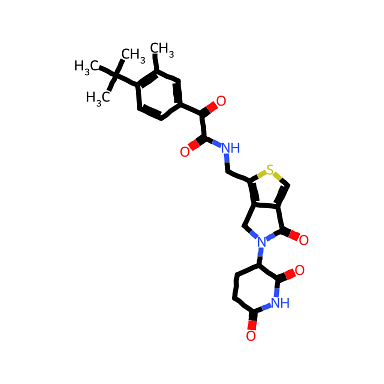 Cc1cc(C(=O)C(=O)NCc2scc3c2CN(C2CCC(=O)NC2=O)C3=O)ccc1C(C)(C)C